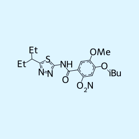 CCC(C)Oc1cc([N+](=O)[O-])c(C(=O)Nc2nnc(C(CC)CC)s2)cc1OC